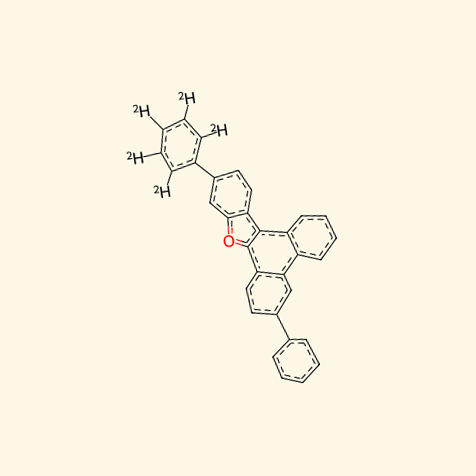 [2H]c1c([2H])c([2H])c(-c2ccc3c(c2)oc2c4ccc(-c5ccccc5)cc4c4ccccc4c32)c([2H])c1[2H]